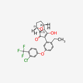 CCc1ccc(Oc2ccc(C(F)(F)F)c(Cl)c2)cc1C1=C(O)[C@H]2[C@@H](C1=O)[C@@H]1CC[C@H]2O1